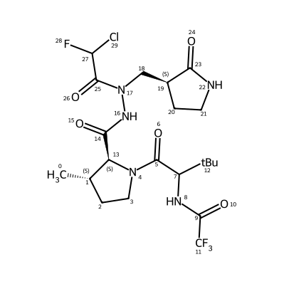 C[C@H]1CCN(C(=O)C(NC(=O)C(F)(F)F)C(C)(C)C)[C@@H]1C(=O)NN(C[C@@H]1CCNC1=O)C(=O)C(F)Cl